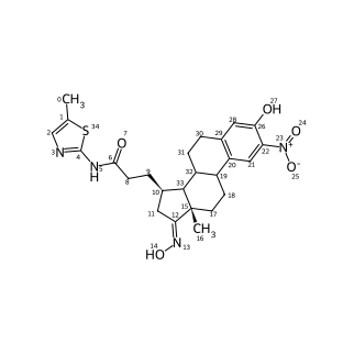 Cc1cnc(NC(=O)CC[C@@H]2CC(=NO)[C@@]3(C)CCC4c5cc([N+](=O)[O-])c(O)cc5CCC4C23)s1